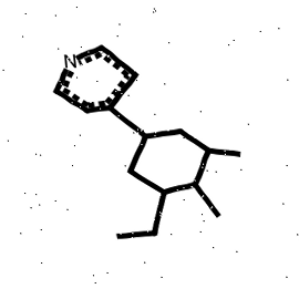 CCC1CC(c2ccncc2)CC(C)C1C